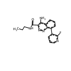 CCCNC(=O)c1nnc2c(-c3cccnc3F)cccc2c1N